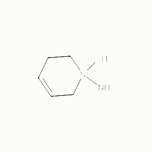 C[N+]1(N)CC=CCC1